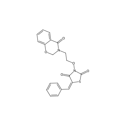 O=C1c2ccccc2OCN1CCON1C(=O)SC(=Cc2ccccc2)C1=O